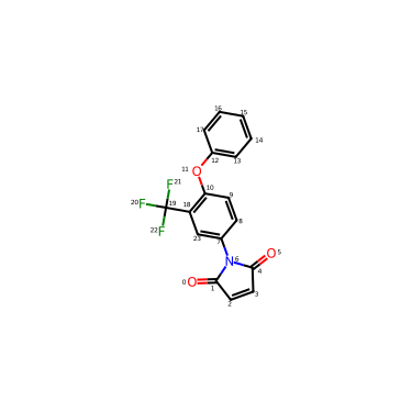 O=C1C=CC(=O)N1c1ccc(Oc2ccccc2)c(C(F)(F)F)c1